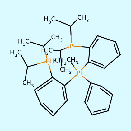 CC(C)P(c1ccccc1[PH](C)(c1ccccc1)c1ccccc1[PH](C)(C(C)C)C(C)C)C(C)C